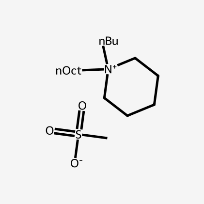 CCCCCCCC[N+]1(CCCC)CCCCC1.CS(=O)(=O)[O-]